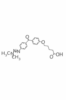 CN(C)N=Nc1ccc(C(=O)c2ccc(OCCCCC(=O)O)cc2)cc1